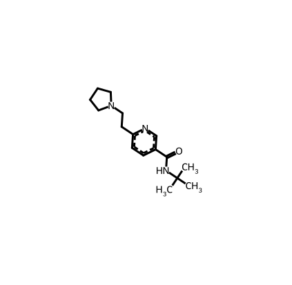 CC(C)(C)NC(=O)c1ccc(CCN2CCCC2)nc1